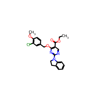 CCOC(=O)c1cnc(N2CCc3ccccc32)nc1OCc1ccc(OC)c(Cl)c1